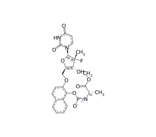 COC(=O)[C@H](C)/N=[P+](/[O-])Oc1c(OC[C@H]2O[C@@H](n3ccc(=O)[nH]c3=O)[C@](C)(F)[C@@H]2O)ccc2ccccc12